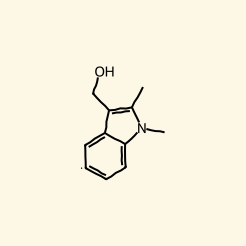 Cc1c(CO)c2c[c]ccc2n1C